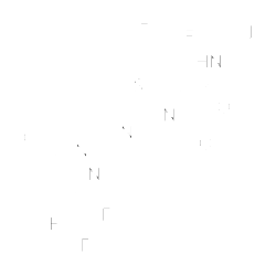 O=C(NCI)c1c(C(F)F)sc2nc(Cn3nc(Cl)cc3C(F)(F)F)cc(=O)n12